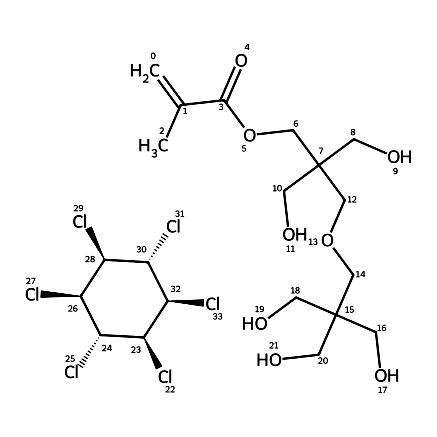 C=C(C)C(=O)OCC(CO)(CO)COCC(CO)(CO)CO.Cl[C@H]1[C@H](Cl)[C@@H](Cl)[C@@H](Cl)[C@H](Cl)[C@H]1Cl